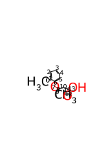 Cc1ccccc1OC(C)CC(=O)O